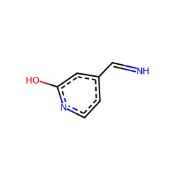 N=Cc1ccnc(O)c1